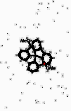 COCc1ccccc1C1(c2ccccc2COC)c2ccccc2-c2ccccc21